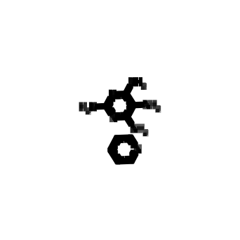 Nc1nc(N)c(N)c(N)n1.c1ccncc1